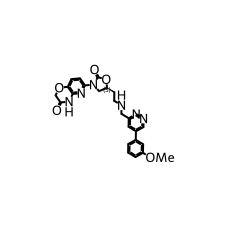 COc1cccc(-c2cnnc(CNCC[C@H]3CN(c4ccc5c(n4)NC(=O)CO5)C(=O)O3)c2)c1